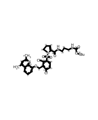 Cc1cc(C)c2cccc(OCc3c(Cl)ccc(S(=O)(=O)N4CCC=C4C(=O)NCCCNC(=O)OC(C)(C)C)c3Cl)c2n1